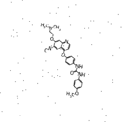 [C-]#[N+]c1cc2c(Oc3ccc(NC(=O)Nc4ccc(OC)cc4)cc3)ccnc2cc1OCCN(C)C